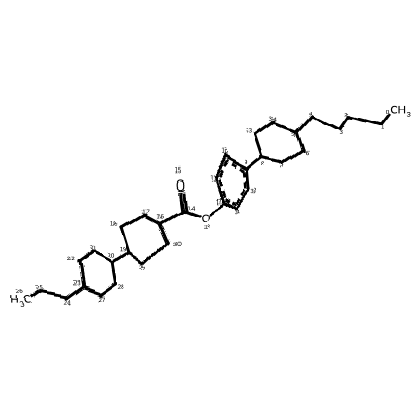 CCCCCC1CCC(c2ccc(OC(=O)C3CCC(C4CCC(CCC)CC4)CC3)cc2)CC1